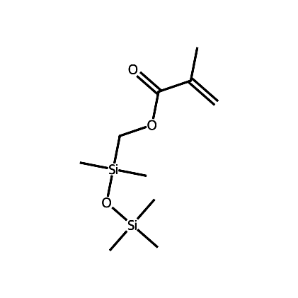 C=C(C)C(=O)OC[Si](C)(C)O[Si](C)(C)C